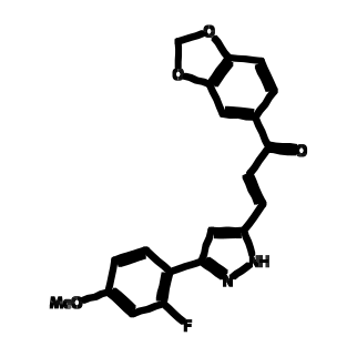 COc1ccc(-c2cc(/C=C/C(=O)c3ccc4c(c3)OCO4)[nH]n2)c(F)c1